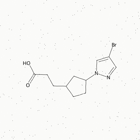 O=C(O)CCC1CCC(n2cc(Br)cn2)C1